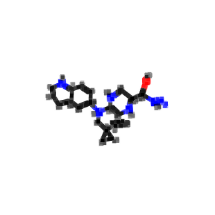 CNC1(CN(c2ccc3ncccc3c2)c2cnc(C(N)=O)cn2)CC1